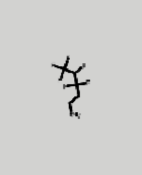 [CH2]CCC(F)(F)[C@H](F)C(F)(F)F